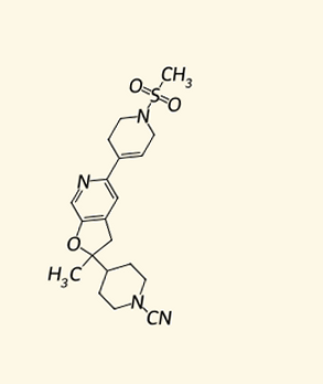 CC1(C2CCN(C#N)CC2)Cc2cc(C3=CCN(S(C)(=O)=O)CC3)ncc2O1